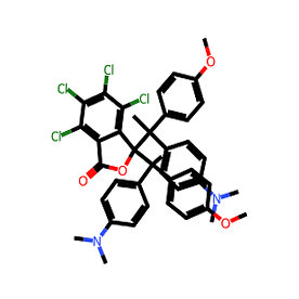 COc1ccc(C(C)(c2ccc(N(C)C)cc2)C2(C(C)(c3ccc(OC)cc3)c3ccc(N(C)C)cc3)OC(=O)c3c(Cl)c(Cl)c(Cl)c(Cl)c32)cc1